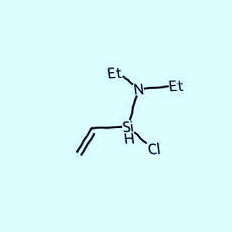 C=C[SiH](Cl)N(CC)CC